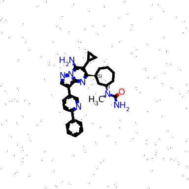 CN(C(N)=O)[C@@H]1CCCC[C@H](c2nc3c(-c4ccc(-c5ccccc5)nc4)cnn3c(N)c2C2CC2)C1